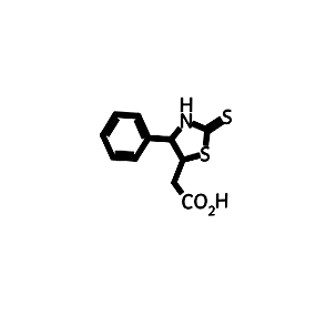 O=C(O)CC1SC(=S)NC1c1ccccc1